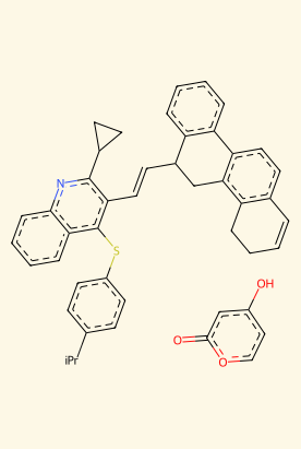 CC(C)c1ccc(Sc2c(/C=C/C3Cc4c(ccc5c4CCC=C5)-c4ccccc43)c(C3CC3)nc3ccccc23)cc1.O=c1cc(O)cco1